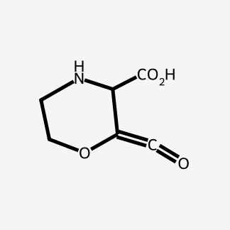 O=C=C1OCCNC1C(=O)O